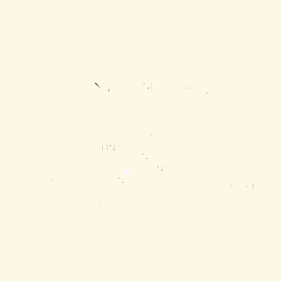 C[C@H](CCN/C(=N\S(=O)(=O)c1ccc(Cl)cc1)N1C[C@H](c2ccccc2)C(c2ccc(Cl)cc2)=N1)S(N)(=O)=O